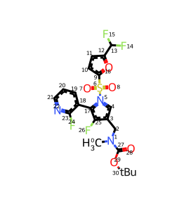 CN(Cc1cn(S(=O)(=O)c2ccc(C(F)F)o2)c(-c2cccnc2F)c1F)C(=O)OC(C)(C)C